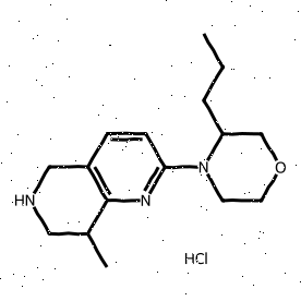 CCCC1COCCN1c1ccc2c(n1)C(C)CNC2.Cl